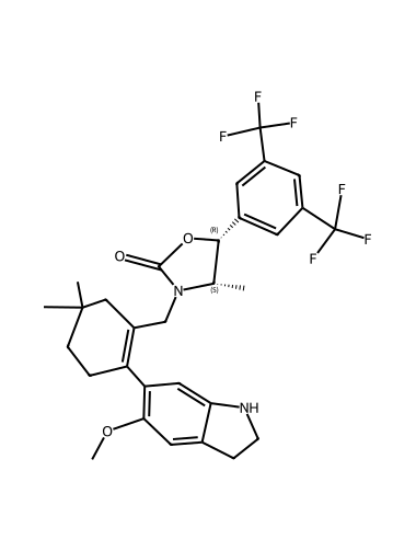 COc1cc2c(cc1C1=C(CN3C(=O)O[C@H](c4cc(C(F)(F)F)cc(C(F)(F)F)c4)[C@@H]3C)CC(C)(C)CC1)NCC2